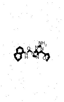 Nc1nc(-c2ccco2)c2ncn(C(=O)Nc3cccc4ccccc34)c2n1